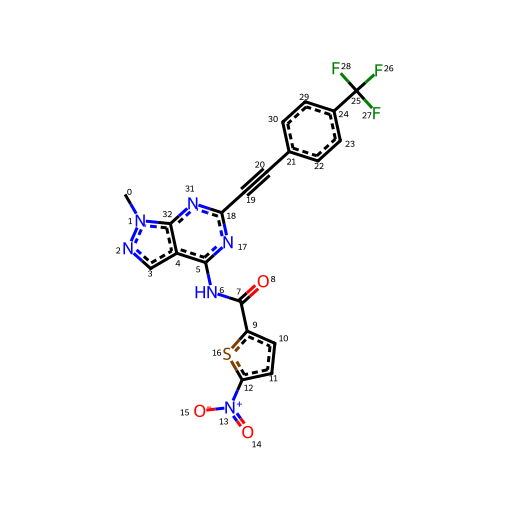 Cn1ncc2c(NC(=O)c3ccc([N+](=O)[O-])s3)nc(C#Cc3ccc(C(F)(F)F)cc3)nc21